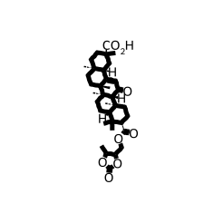 CC1OC(=O)OC1COC(=O)[C@H]1CC[C@]2(C)[C@H]3C(=O)C=C4[C@@H]5C[C@@](C)(C(=O)O)CC[C@]5(C)CC[C@@]4(C)[C@]3(C)CC[C@H]2C1(C)C